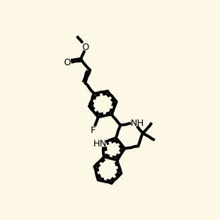 COC(=O)C=Cc1ccc(C2NC(C)(C)Cc3c2[nH]c2ccccc32)c(F)c1